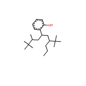 CCCC(CC(CC(C)C(C)(C)C)c1ccccc1O)C(C)(C)C